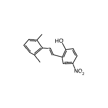 Cc1cccc(C)c1/C=C/c1cc([N+](=O)[O-])ccc1O